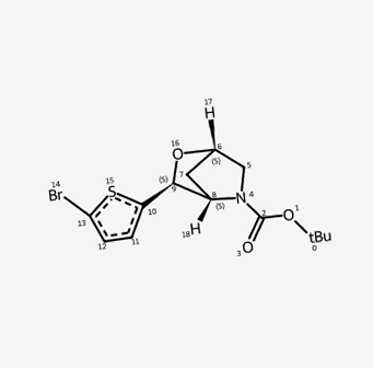 CC(C)(C)OC(=O)N1C[C@@H]2C[C@H]1[C@@H](c1ccc(Br)s1)O2